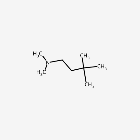 CN(C)[CH]CC(C)(C)C